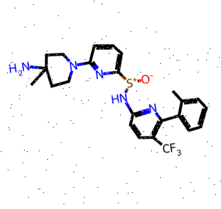 Cc1ccccc1-c1nc(N[S+]([O-])c2cccc(N3CCC(C)(N)CC3)n2)ccc1C(F)(F)F